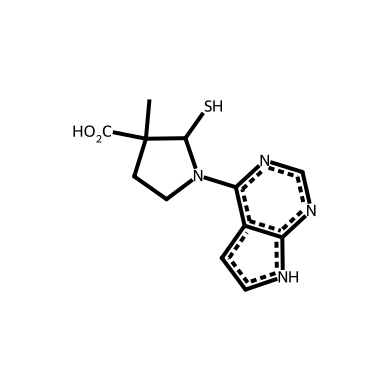 CC1(C(=O)O)CCN(c2ncnc3[nH]ccc23)C1S